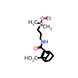 CCO[Si](C)(C)CCCNC(=O)C1C2C=CC(CC2)C1C(=O)O